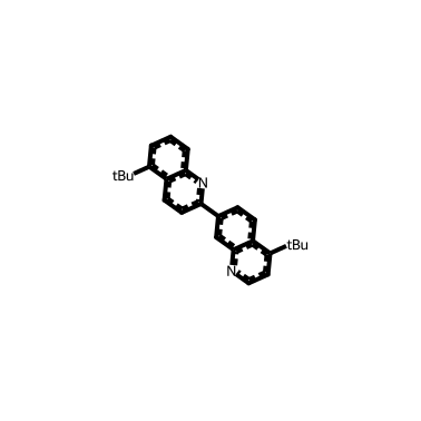 CC(C)(C)c1ccnc2cc(-c3ccc4c(C(C)(C)C)cccc4n3)ccc12